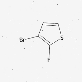 Fc1sccc1Br